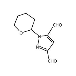 O=Cc1cc(C=O)n(C2CCCCO2)n1